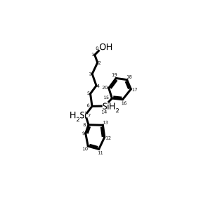 OCCCCCC([SiH2]c1ccccc1)[SiH2]c1ccccc1